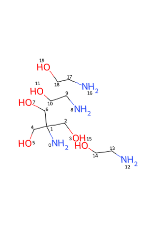 NC(CO)(CO)CO.NCCO.NCCO.NCCO